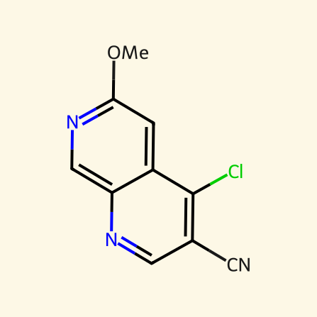 COc1cc2c(Cl)c(C#N)cnc2cn1